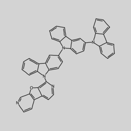 c1ccc2c(c1)c1ccccc1n2-c1ccc2c(c1)c1ccccc1n2-c1ccc2c(c1)c1ccccc1n2-c1nccc2c1oc1cnccc12